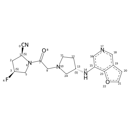 N#C[C@@H]1C[C@H](F)CN1C(=O)CN1CC[C@H](Nc2cncc3ccoc23)C1